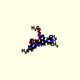 COCCOc1ncc2c(N3C[C@H](C)N[C@@H](C)C3)ccc(C(=O)Nc3cn4cc(C)nc4c(OC)n3)c2n1